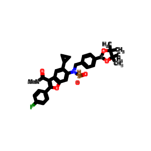 CNC(=O)c1c(-c2ccc(F)cc2)oc2cc(N(Cc3ccc(B4OC(C)(C)C(C)(C)O4)cc3)[SH](=O)=O)c(C3CC3)cc12